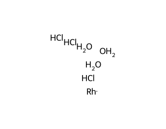 Cl.Cl.Cl.O.O.O.[Rh]